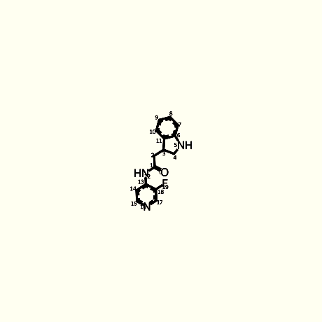 O=C(CC1CNc2ccccc21)Nc1ccncc1F